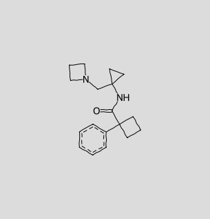 O=C(NC1(CN2CCC2)CC1)C1(c2ccccc2)CCC1